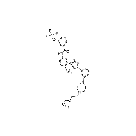 CCOCCN1CCN(c2cncc(-c3cn(-c4cc(NC(=O)c5cccc(OC(F)(F)F)c5)cnc4C)nn3)c2)CC1